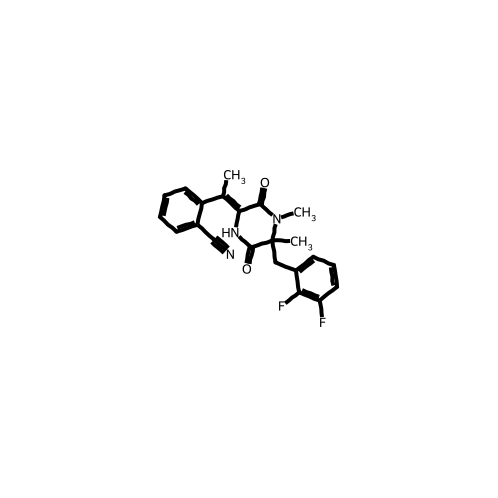 CC(=C1NC(=O)C(C)(Cc2cccc(F)c2F)N(C)C1=O)c1ccccc1C#N